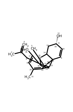 C=C(C)C[N+]1(C)CCC23C=C[C@@H](O)CC2Oc2c(OC)cc(C)c(c23)C1